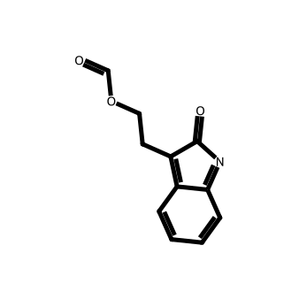 O=COCCC1=c2ccccc2=NC1=O